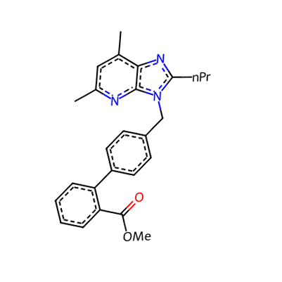 CCCc1nc2c(C)cc(C)nc2n1Cc1ccc(-c2ccccc2C(=O)OC)cc1